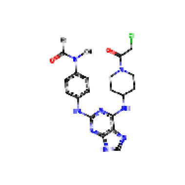 CCC(=O)N(C)c1ccc(Nc2nc(NC3CCN(C(=O)CCl)CC3)c3nc[nH]c3n2)cc1